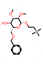 CO[C@H]1[C@H](OCC[Si](C)(C)C)O[C@H](COCc2ccccc2)[C@@H](O)[C@@H]1OC